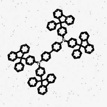 c1ccc(C2(c3ccc(N(c4ccc(-c5ccc(N(c6ccc(C7(c8ccccc8)c8ccccc8-c8ccccc87)cc6)c6ccc(C7(c8ccccc8)c8ccccc8-c8ccccc87)cc6)cc5)cc4)c4ccc(C5(c6ccccc6)c6ccccc6-c6ccccc65)cc4)cc3)c3ccccc3-c3ccccc32)cc1